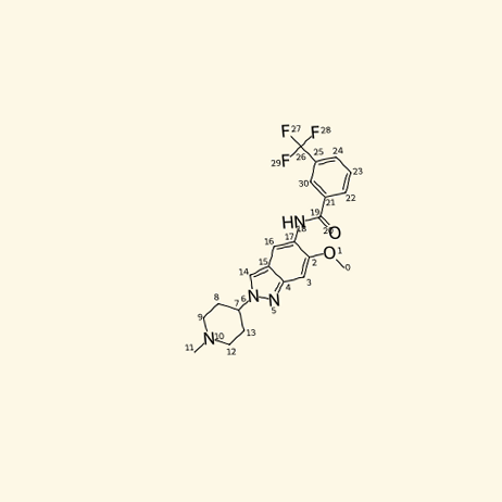 COc1cc2nn(C3CCN(C)CC3)cc2cc1NC(=O)c1cccc(C(F)(F)F)c1